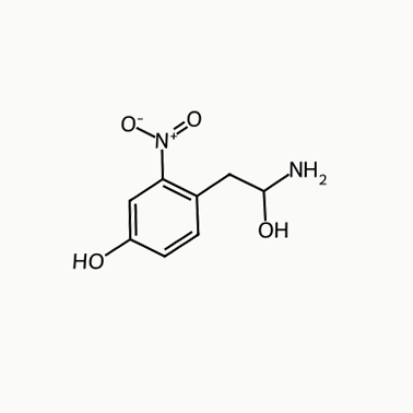 NC(O)Cc1ccc(O)cc1[N+](=O)[O-]